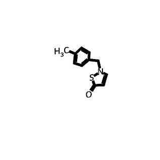 Cc1ccc(Cn2ccc(=O)s2)cc1